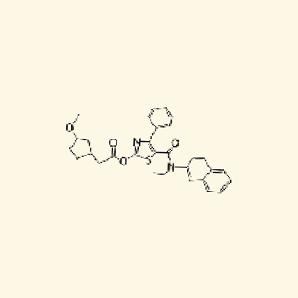 CCN(C(=O)c1sc(OC(=O)CC2CCC(OC)C2)nc1-c1ccccc1)c1ccc2ccccc2c1